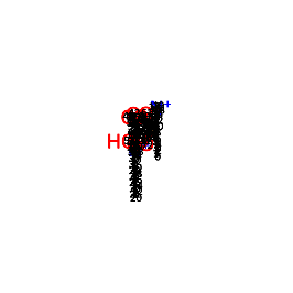 CCCCCCCCCCCCCCCC[N+](C)(C)C.CCCCCCCCCCCCCCCC[N+](C)(C)C.O=C(O)c1ccc(Sc2ccc(C(=O)O)cc2)cc1.O=C([O-])c1ccc(Sc2ccc(C(=O)[O-])cc2)cc1